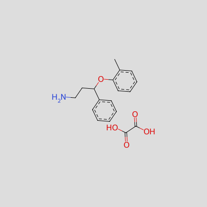 Cc1ccccc1OC(CCN)c1ccccc1.O=C(O)C(=O)O